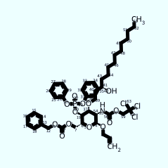 C=CCO[C@H]1O[C@H](COC(=O)OCc2ccccc2)[C@@H](OP(=O)(Oc2ccccc2)Oc2ccccc2)[C@H](OCC[C@@H](O)CCCCCCCCCCC)[C@@H]1NC(=O)OCC(Cl)(Cl)Cl